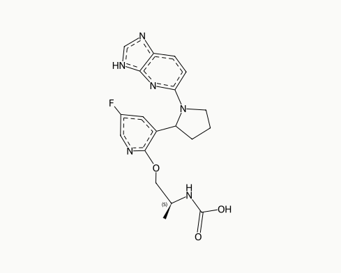 C[C@@H](COc1ncc(F)cc1C1CCCN1c1ccc2nc[nH]c2n1)NC(=O)O